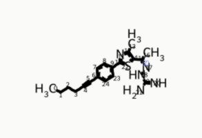 CCCCC#Cc1ccc(-c2nc(C)c(/C(C)=N\NC(=N)N)s2)cc1